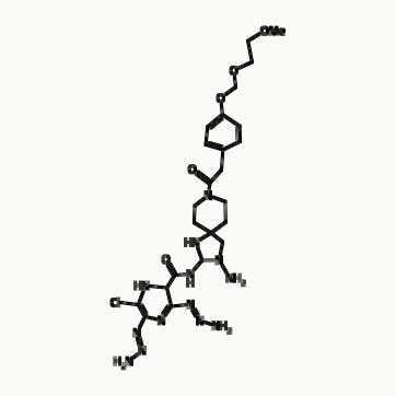 COCCOCOc1ccc(CC(=O)N2CCC3(CC2)CN(N)C(NC(=O)C2NC(Cl)=C(N=NN)N=C2N=NN)N3)cc1